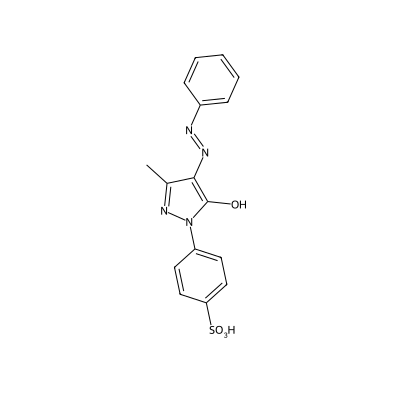 Cc1nn(-c2ccc(S(=O)(=O)O)cc2)c(O)c1/N=N/c1ccccc1